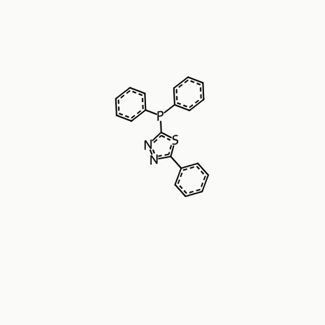 c1ccc(-c2nnc(P(c3ccccc3)c3ccccc3)s2)cc1